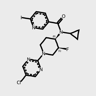 O=C(c1ccc(I)nc1)N(C1CC1)[C@@H]1CCN(c2ncc(Cl)cn2)C[C@@H]1F